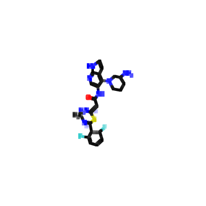 C/N=C(\S/C(N)=C/C(=O)Nc1cnc2[nH]ccc2c1N1CCCC(N)C1)c1c(F)cccc1F